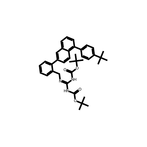 CC(C)(C)OC(=O)NC(=NCc1ccccc1-c1ccc2c(-c3ccc(C(C)(C)C)cc3)cccc2c1)NC(=O)OC(C)(C)C